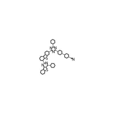 N#Cc1ccc(-c2ccc(-c3nc(-c4ccccc4)nc(-c4ccc5c(c4)sc4c(-c6nc(-c7ccccc7)c7sc8ccccc8c7n6)cccc45)n3)cc2)cc1